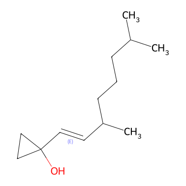 CC(C)CCCC(C)/C=C/C1(O)CC1